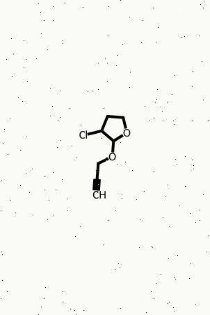 C#CCOC1OCCC1Cl